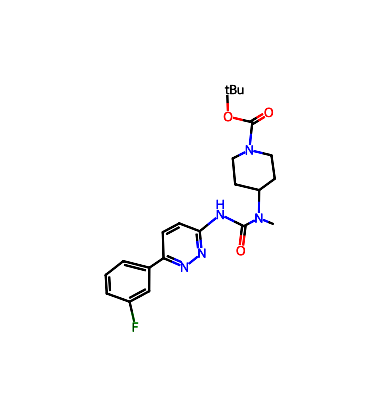 CN(C(=O)Nc1ccc(-c2cccc(F)c2)nn1)C1CCN(C(=O)OC(C)(C)C)CC1